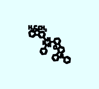 CC1(C)c2ccccc2-c2cc(-c3nc(-c4ccccc4)nc(-c4cccc5c4oc4c5ccc5c4c4ccccc4n5-c4ccccc4)n3)ccc21